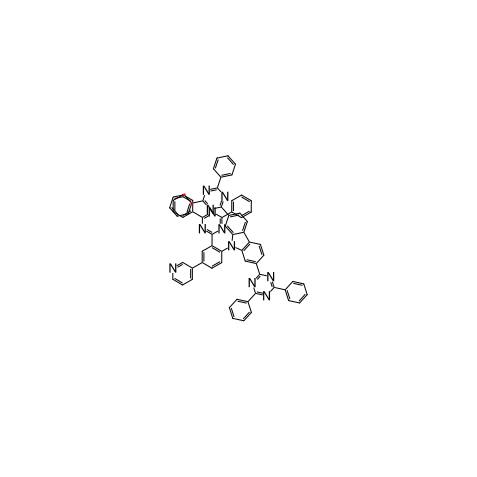 c1ccc(-c2nc(-c3ccccc3)nc(-c3ccc4c5ccc(-c6nc(-c7ccccc7)nc(-c7ccccc7)n6)cc5n(-c5ccc(-c6cccnc6)cc5-c5nc(-c6ccccc6)nc(-c6ccccc6)n5)c4c3)n2)cc1